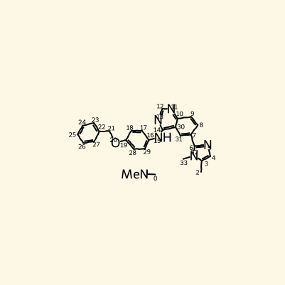 CNC.Cc1cnc(-c2ccc3ncnc(Nc4ccc(OCc5ccccc5)cc4)c3c2)n1C